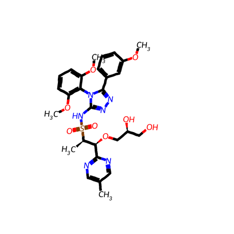 COc1cccc(-c2nnc(NS(=O)(=O)[C@H](C)[C@@H](OC[C@@H](O)CO)c3ncc(C)cn3)n2-c2c(OC)cccc2OC)c1